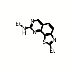 CCNc1ncc2ccc3nc(CC)sc3c2n1